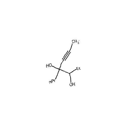 [CH2]C#CC(O)(CCC)C(O)CC